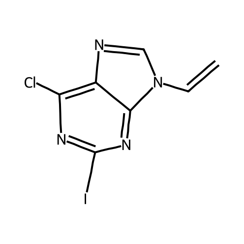 C=Cn1cnc2c(Cl)nc(I)nc21